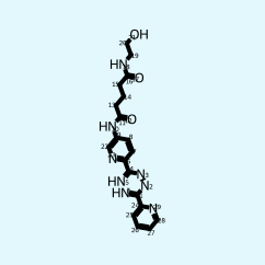 N=C(/N=N\C(=N)c1ccc(NC(=O)CCCC(=O)NCCO)cn1)c1ccccn1